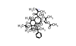 C=C(C)[C@]1(O)[C@H](OC(C)=O)[C@@H](C)[C@]2(O)C[C@@](O)(C(=O)/C(C)=C\C)[C@H](OC(C)=O)[C@@]3(CCOC(C)=O)O[C@H]3[C@H]2[C@@]1(O)CC(C)(C)c1ccccc1